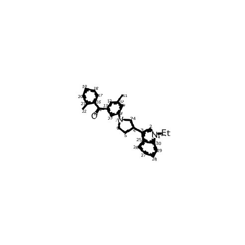 CCn1cc(C2CCN(c3cc(C)[c]c(C(=O)c4ccccc4C)c3)C2)c2ccccc21